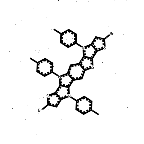 Cc1ccc(-n2c3cc(Br)sc3c3sc4cc5c(cc4c32)n(-c2ccc(C)cc2)c2c3sc(Br)cc3n(-c3ccc(C)cc3)c52)cc1